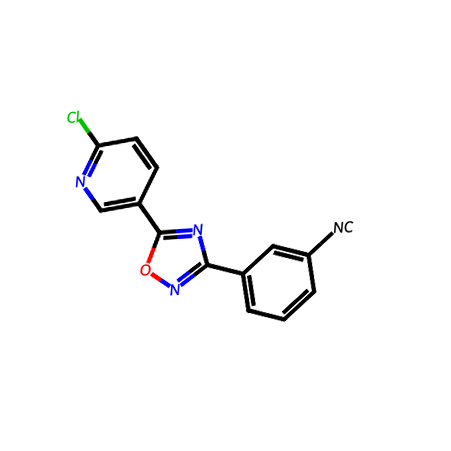 [C-]#[N+]c1cccc(-c2noc(-c3ccc(Cl)nc3)n2)c1